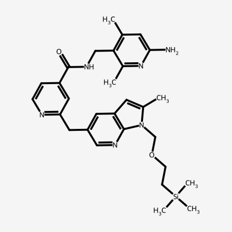 Cc1cc(N)nc(C)c1CNC(=O)c1ccnc(Cc2cnc3c(c2)cc(C)n3COCC[Si](C)(C)C)c1